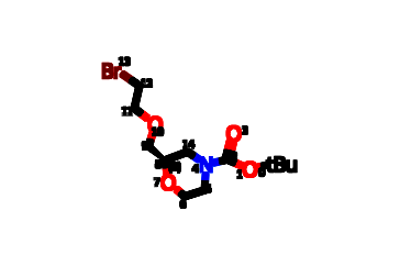 CC(C)(C)OC(=O)N1CCO[C@@H](COCCBr)C1